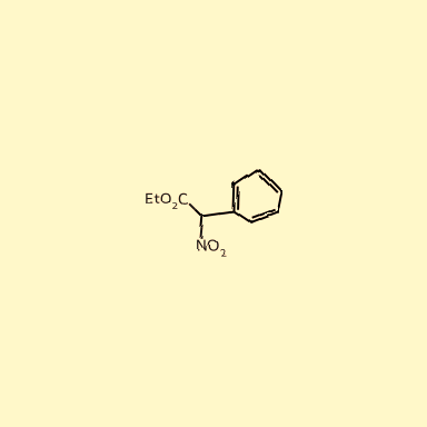 CCOC(=O)C(c1ccccc1)[N+](=O)[O-]